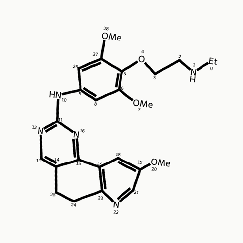 CCNCCOc1c(OC)cc(Nc2ncc3c(n2)-c2cc(OC)cnc2CC3)cc1OC